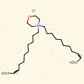 CCCCCCCC/C=C\CCCCCCCC[N+]1(CCCCCCCC/C=C\CCCCCCCC)CCOCC1.[Cl-]